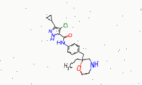 CC[C@@]1(Cc2ccc(NC(=O)c3[nH]nc(C4CC4)c3Cl)cc2)CNCCO1